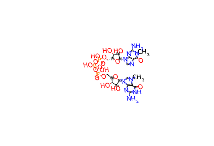 Cn1c(N)nc2c(ncn2[C@@H]2O[C@H](COP(=O)(O)OP(=O)(O)OP(=O)(O)OC[C@H]3O[C@@H](n4c[n+](C)c5c(=O)[nH]c(N)nc54)[C@@H](O)C3O)C(O)[C@@H]2O)c1=O